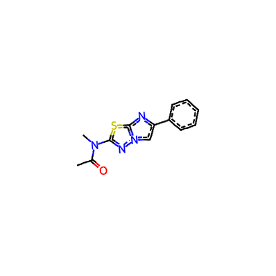 CC(=O)N(C)c1nn2cc(-c3ccccc3)nc2s1